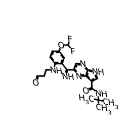 CC(C)(C)NC(=O)c1c[nH]c2ncc(C(=N)c3cc(OC(F)F)ccc3NCCC=O)nc12